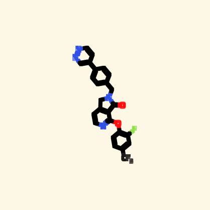 O=C1c2c(ccnc2Oc2ccc(C(F)(F)F)cc2F)CN1Cc1ccc(-c2ccnnc2)cc1